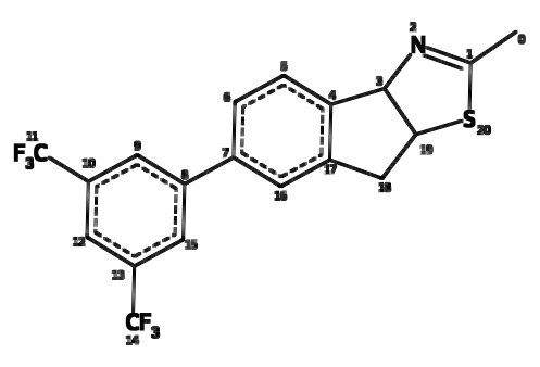 CC1=NC2c3ccc(-c4cc(C(F)(F)F)cc(C(F)(F)F)c4)cc3CC2S1